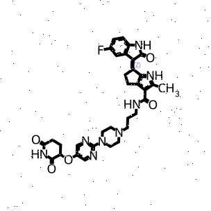 Cc1[nH]c2c(c1C(=O)NCCCN1CCN(c3ncc(OC4CCC(=O)NC4=O)cn3)CC1)CC/C2=C1/C(=O)Nc2ccc(F)cc21